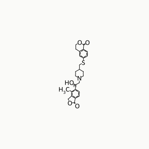 Cc1c([C@@H](O)CN2CCC(CSc3ccc4c(c3)CCOC4=O)CC2)ccc2c1COC2=O